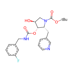 CC(C)(C)OC(=O)N1C[C@H](O)[C@@H](OC(=O)NCc2cccc(F)c2)[C@H]1Cc1cccnc1